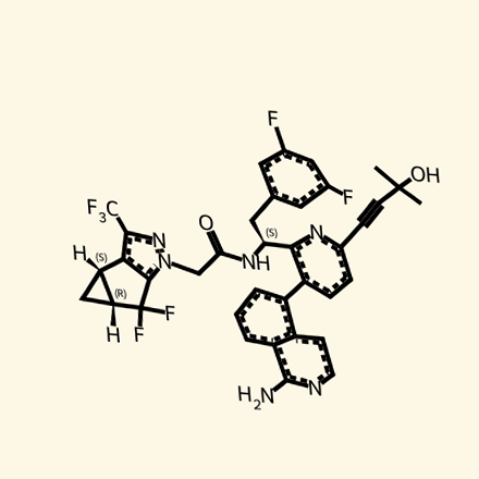 CC(C)(O)C#Cc1ccc(-c2cccc3c(N)nccc23)c([C@H](Cc2cc(F)cc(F)c2)NC(=O)Cn2nc(C(F)(F)F)c3c2C(F)(F)[C@@H]2C[C@H]32)n1